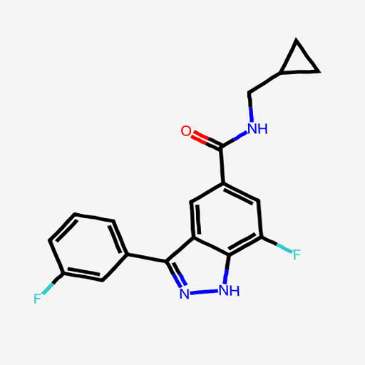 O=C(NCC1CC1)c1cc(F)c2[nH]nc(-c3cccc(F)c3)c2c1